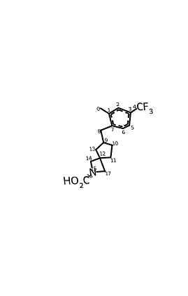 Cc1cc(C(F)(F)F)ccc1CC1CCC2(C1)CN(C(=O)O)C2